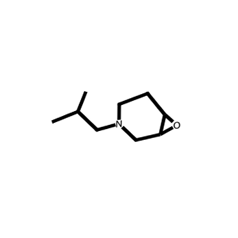 CC(C)CN1CCC2OC2C1